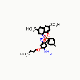 Cc1ccc(S(=O)(=O)Oc2cc(S(=O)(=O)O)cc3cc(S(=O)(=O)O)cc(N=Nc4cc(OCCCS(=O)(=O)O)c(N)cc4C)c23)cc1